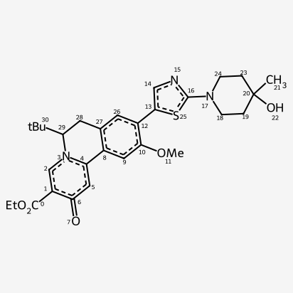 CCOC(=O)c1cn2c(cc1=O)-c1cc(OC)c(-c3cnc(N4CCC(C)(O)CC4)s3)cc1CC2C(C)(C)C